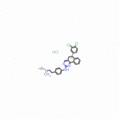 CCCCN(C)CCc1ccc(Nc2ncc3c(n2)-c2ccccc2[C@H](c2ccc(Cl)c(Cl)c2)C3)cc1.Cl